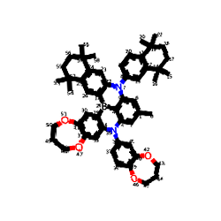 Cc1cc2c3c(c1)N(c1ccc4c(c1)C(C)(C)CCC4(C)C)c1cc4c(cc1B3c1cc3c(cc1N2c1ccc2c(c1)OCCCO2)OCCCO3)C(C)(C)CCC4(C)C